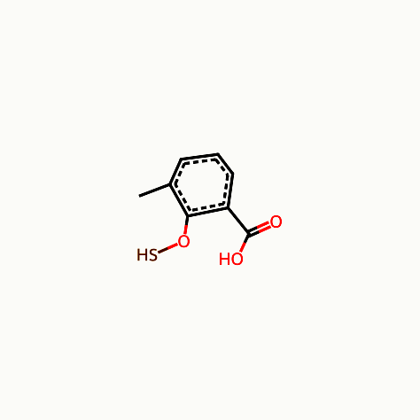 Cc1cccc(C(=O)O)c1OS